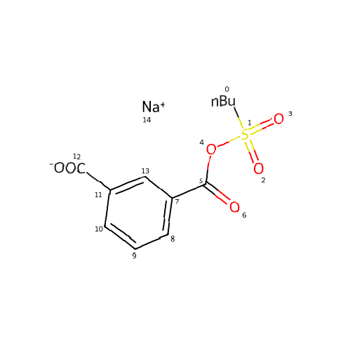 CCCCS(=O)(=O)OC(=O)c1cccc(C(=O)[O-])c1.[Na+]